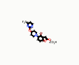 O=C(O)Oc1cc2c(Br)c(N3CCC(Oc4nccc(C(F)(F)F)n4)CC3)ccc2o1